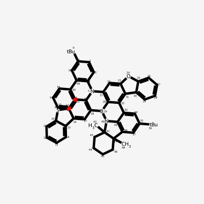 CC(C)(C)c1ccc(N2c3cc4sc5ccccc5c4cc3B3c4c2cc2oc5ccccc5c2c4-c2cc(C(C)(C)C)cc4c2N3C2(C)CCCCC42C)c(-c2ccccc2)c1